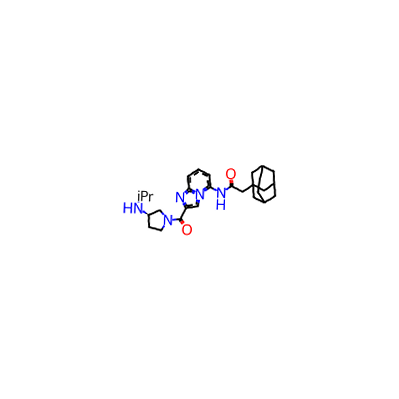 CC(C)N[C@@H]1CCN(C(=O)c2cn3c(NC(=O)CC45CC6CC(CC(C6)C4)C5)cccc3n2)C1